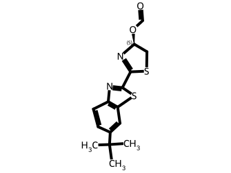 CC(C)(C)c1ccc2nc(C3=N[C@@H](OC=O)CS3)sc2c1